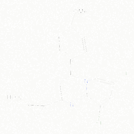 COc1ccc(C2CC(C3CC3C(=O)O)N=C3C(Cl)=CC(Cl)=CN32)cc1